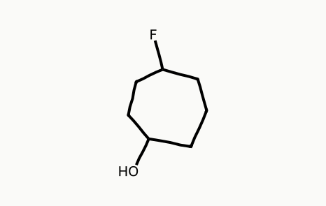 OC1CCCC(F)CC1